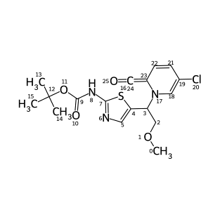 COCC(c1cnc(NC(=O)OC(C)(C)C)s1)N1C=C(Cl)C=CC1=C=O